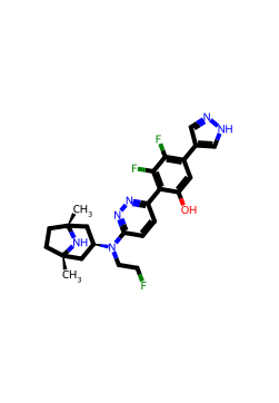 C[C@]12CC[C@](C)(C[C@@H](N(CCF)c3ccc(-c4c(O)cc(-c5cn[nH]c5)c(F)c4F)nn3)C1)N2